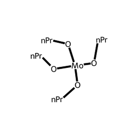 CCC[O][Mo]([O]CCC)([O]CCC)[O]CCC